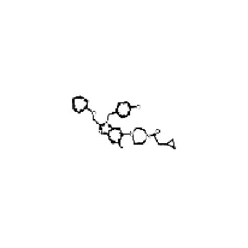 O=C(CC1CC1)N1CCN(c2cc3c(cc2F)nc(COc2ccccc2)n3Cc2ccc(Cl)cc2)CC1